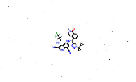 Cn1ccc2c(C(Nc3cc(C#N)c4ncc(C#N)c(NCC(C)(C)C(F)(F)F)c4c3)c3cn(C4(C5CC5)CC4)nn3)cccc2c1=O